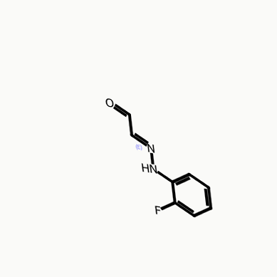 O=C/C=N/Nc1ccccc1F